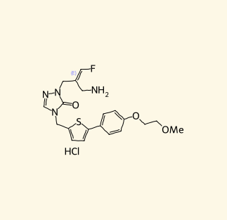 COCCOc1ccc(-c2ccc(Cn3cnn(C/C(=C/F)CN)c3=O)s2)cc1.Cl